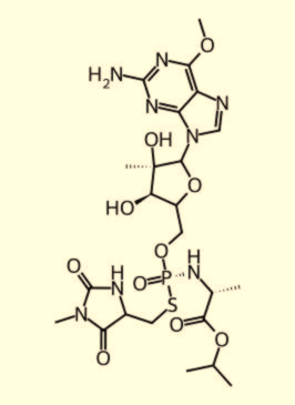 COc1nc(N)nc2c1ncn2C1OC(CO[P@@](=O)(N[C@H](C)C(=O)OC(C)C)SCC2NC(=O)N(C)C2=O)[C@@H](O)[C@@]1(C)O